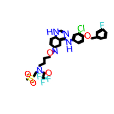 CS(=O)(=O)CCN(CCCCON=C1C=CC2NC=NC(Nc3ccc(OCc4cccc(F)c4)c(Cl)c3)=C2C1)C(=O)C(F)(F)F